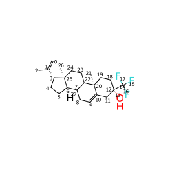 C=C(C)[C@H]1CCC2[C@@H]3CC=C4C[C@](O)(C(F)(F)F)CC[C@]4(C)C3CC[C@@]21C